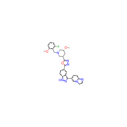 COc1cccc(F)c1CN1CC(c2nnc(-c3ccc4[nH]nc(-c5ccc6nccn6c5)c4c3)o2)C[C@@H](OC)C1